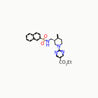 C=C1CCN(c2ncc(C(=O)OCC)cn2)C[C@H]1CNS(=O)(=O)c1ccc2ccccc2c1